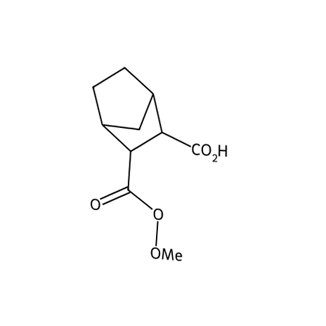 COOC(=O)C1C2CCC(C2)C1C(=O)O